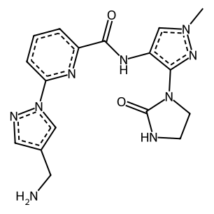 Cn1cc(NC(=O)c2cccc(-n3cc(CN)cn3)n2)c(N2CCNC2=O)n1